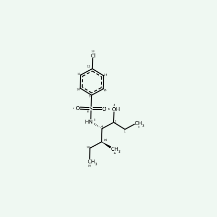 CCC(O)[C@@H](NS(=O)(=O)c1ccc(Cl)cc1)[C@@H](C)CC